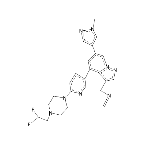 C=NCc1cnn2cc(-c3cnn(C)c3)cc(-c3ccc(N4CCN(CC(F)F)CC4)nc3)c12